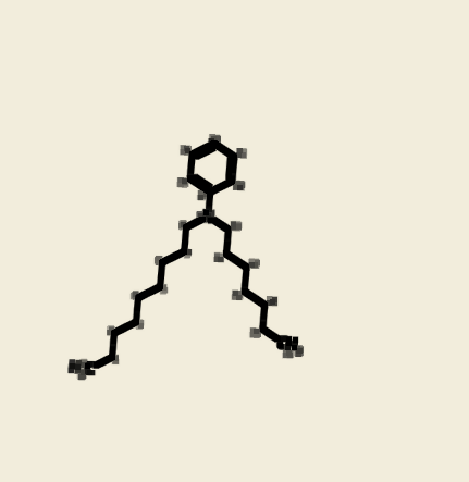 CCCCCCCCCN(CCCCCCC)c1ccccc1